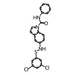 O=C(Nc1ccccc1)n1ccc2cc(NSc3cc(Cl)cc(Cl)c3)ccc21